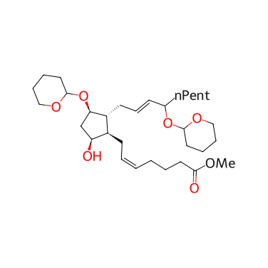 CCCCCC(/C=C/C[C@@H]1[C@@H](C/C=C\CCCC(=O)OC)[C@@H](O)C[C@H]1OC1CCCCO1)OC1CCCCO1